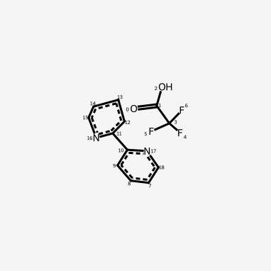 O=C(O)C(F)(F)F.c1ccc(-c2ccccn2)nc1